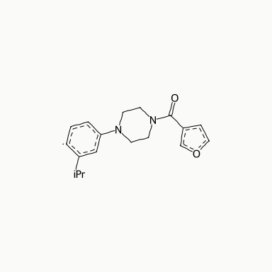 CC(C)c1[c]ccc(N2CCN(C(=O)c3ccoc3)CC2)c1